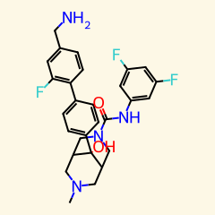 CN1CC2CN(C(=O)Nc3cc(F)cc(F)c3)CC(C1)C2(O)c1ccc(-c2ccc(CN)cc2F)cc1